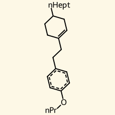 CCCCCCCC1CC=C(CCc2ccc(OCCC)cc2)CC1